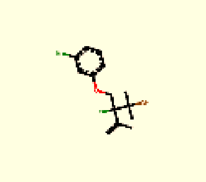 C=C(C)C(F)(COc1cccc(Br)c1)C(C)(C)S